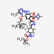 Cc1cnc(Nc2ccc(-c3cnc(C4CCC(NC(=O)OC(C)C)CC4)s3)c(S(=O)(=O)N3CCC3)c2)n1COCC[Si](C)(C)C